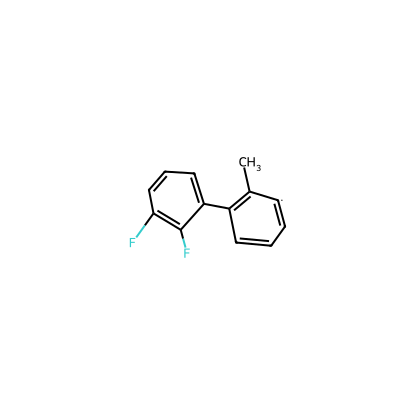 Cc1[c]cccc1-c1cccc(F)c1F